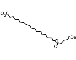 CCCCCCCCCCCCCC(=O)OCCCCCCCCCCCCCCCCCC(=O)O